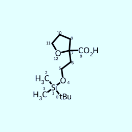 CC(C)(C)[Si](C)(C)OCCC1(C(=O)O)CCCO1